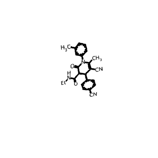 CCNC(=O)C1C(=O)N(c2cccc(C)c2)C(C)=C(C#N)C1c1ccc(C#N)cc1